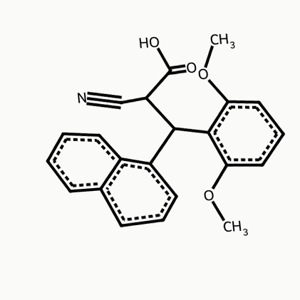 COc1cccc(OC)c1C(c1cccc2ccccc12)C(C#N)C(=O)O